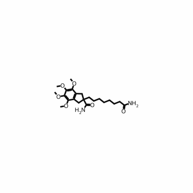 COc1c2c(c(OC)c(OC)c1OC)CC(CCCCCCCC(N)=O)(C(N)=O)C2